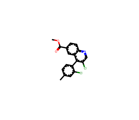 COC(=O)c1ccc2ncc(Cl)c(-c3ccc(C)cc3Cl)c2c1